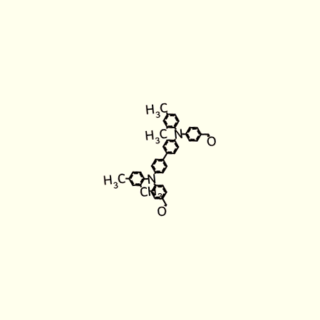 Cc1ccc(N(c2ccc(C=O)cc2)c2ccc(-c3ccc(N(c4ccc(C=O)cc4)c4ccc(C)cc4C)cc3)cc2)c(C)c1